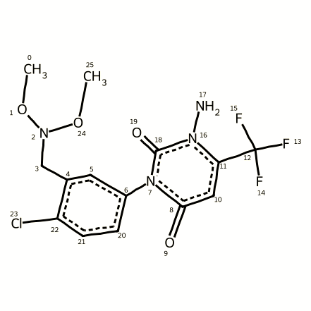 CON(Cc1cc(-n2c(=O)cc(C(F)(F)F)n(N)c2=O)ccc1Cl)OC